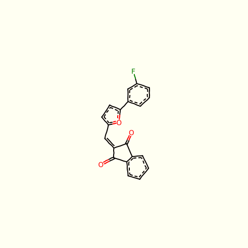 O=C1C(=Cc2ccc(-c3cccc(F)c3)o2)C(=O)c2ccccc21